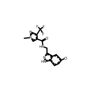 Cn1cc(C(=O)NCc2n[nH]c3ccc(Cl)cc23)c(C(F)(F)F)n1